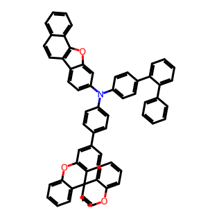 c1ccc(-c2ccccc2-c2ccc(N(c3ccc(-c4ccc5c(c4)Oc4ccccc4C54c5ccccc5Oc5ccccc54)cc3)c3ccc4c(c3)oc3c5ccccc5ccc43)cc2)cc1